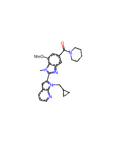 COc1cc(C(=O)N2CCCCC2)cc2nc(-c3cc4cccnc4n3CC3CC3)n(C)c12